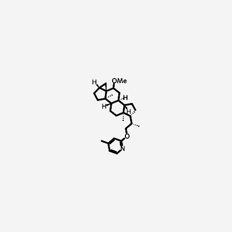 COC1C[C@H]2[C@@H]3CC[C@H]([C@H](C)COc4cc(C)ccn4)[C@@]3(C)CC[C@@H]2[C@@]2(C)CC[C@@H]3C[C@]132